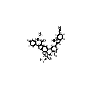 CNC(=O)c1c(-c2ccc(F)cc2)oc2cc(N(C)S(C)(=O)=O)c(-c3cnnc(-c4cc5ccc(C#N)cc5[nH]4)c3)cc12